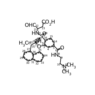 C[C@@H](Oc1cc(C(=O)NCCN(C)C)ccc1S(=O)(=O)NC(C=O)CC(=O)O)[C@@H](C)c1cccc2ccccc12